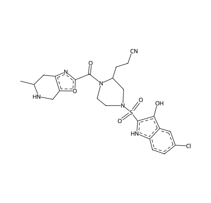 CC1Cc2nc(C(=O)N3CCN(S(=O)(=O)c4[nH]c5ccc(Cl)cc5c4O)CC3CCC#N)oc2CN1